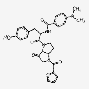 CN(C)c1ccc(C(=O)NC(Cc2ccc(O)cc2)C(=O)N2CCC3C2C(=O)CN3C(=O)c2cccs2)cc1